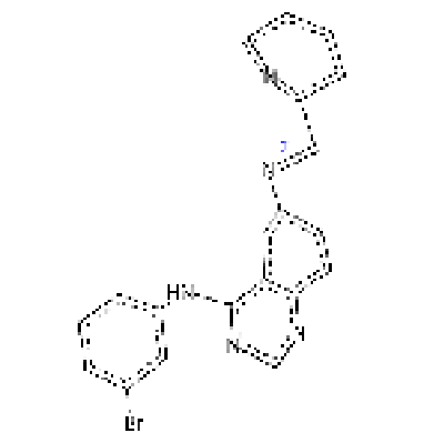 Brc1cccc(Nc2ncnc3ccc(/N=C/c4ccccn4)cc23)c1